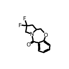 O=C1c2ccccc2OCC2CC(F)(F)CN12